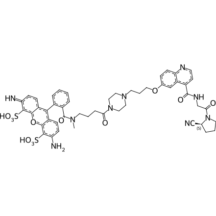 CN(CCCC(=O)N1CCN(CCCOc2ccc3nccc(C(=O)NCC(=O)N4CCC[C@H]4C#N)c3c2)CC1)C(=O)c1ccccc1-c1c2ccc(=N)c(S(=O)(=O)O)c-2oc2c(S(=O)(=O)O)c(N)ccc12